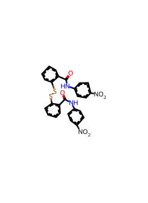 O=C(Nc1ccc([N+](=O)[O-])cc1)c1ccccc1SSc1ccccc1C(=O)Nc1ccc([N+](=O)[O-])cc1